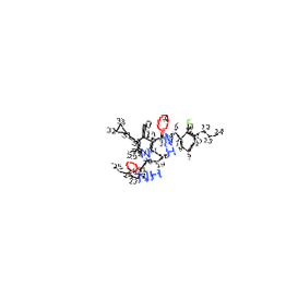 C=C1C(C(=O)NCc2cccc(CCC)c2F)=C2CCC(C3NCC(C)O3)N2C(C)=C1C1CC1